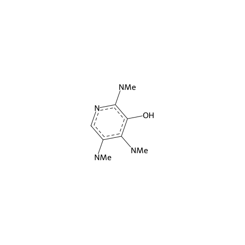 CNc1cnc(NC)c(O)c1NC